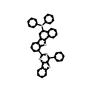 c1ccc(-c2nc(-c3cccc4c3oc3c5ccccc5c(N(c5ccccc5)c5ccccc5)cc43)nc3c2sc2ccccc23)cc1